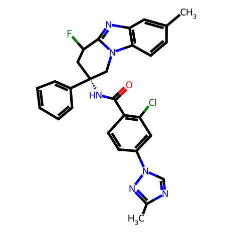 Cc1ccc2c(c1)nc1n2C[C@@](NC(=O)c2ccc(-n3cnc(C)n3)cc2Cl)(c2ccccc2)CC1F